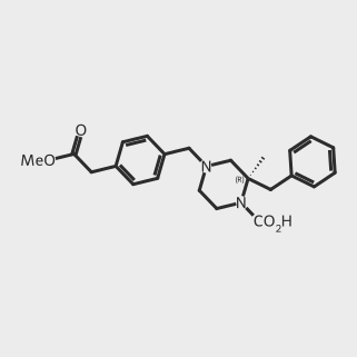 COC(=O)Cc1ccc(CN2CCN(C(=O)O)[C@](C)(Cc3ccccc3)C2)cc1